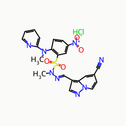 CN(c1ccccn1)c1ccc([N+](=O)[O-])cc1S(=O)(=O)N(C)N=Cc1cnn2ccc(C#N)cc12.Cl